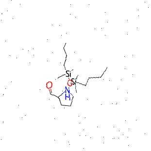 CCCC[Si](C)(C)O[Si](C)(C)CCCC.O=CC1CCCN1